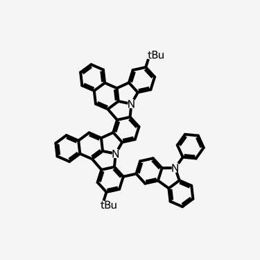 CC(C)(C)c1ccc2c(c1)c1c3ccccc3cc3c4c5c6cc7ccccc7c7c8cc(C(C)(C)C)cc(-c9ccc%10c(c9)c9ccccc9n%10-c9ccccc9)c8n(c5ccc4n2c31)c67